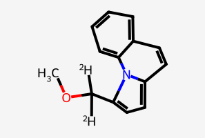 [2H]C([2H])(OC)c1ccc2ccc3ccccc3n12